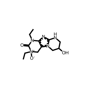 CCN1C(=O)[N+]([O-])(CC)Cc2c1nc1n2CC(O)CN1